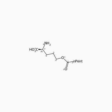 CCCCCC(=O)OCCC[C@H](N)C(=O)O